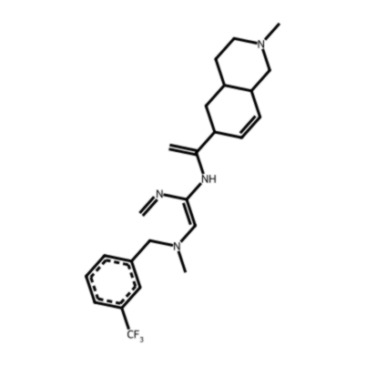 C=N/C(=C\N(C)Cc1cccc(C(F)(F)F)c1)NC(=C)C1C=CC2CN(C)CCC2C1